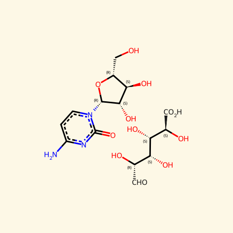 Nc1ccn([C@@H]2O[C@H](CO)[C@@H](O)[C@@H]2O)c(=O)n1.O=C[C@H](O)[C@@H](O)[C@H](O)[C@H](O)C(=O)O